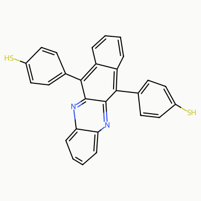 Sc1ccc(-c2c3ccccc3c(-c3ccc(S)cc3)c3nc4ccccc4nc23)cc1